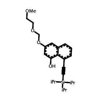 COCCOCOc1cc(O)c2c(C#C[Si](C(C)C)(C(C)C)C(C)C)cccc2c1